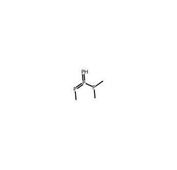 CP=P(=P)P(C)C